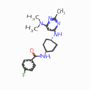 Cc1nc(N[C@H]2CC[C@@H](NC(=O)c3ccc(F)cc3)CC2)cc(N(C)C)n1